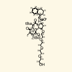 C[C@@H](C(=O)N[C@H](C(=O)N1C[C@@H](OCCOCCOCCOCCO)C[C@H]1C(=O)N[C@@H]1CCCc2ccccc21)C(C)(C)C)N(C)C(=O)OC(C)(C)C